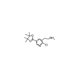 CC1(C)OB(c2cnc(Cl)c(CCN)c2)OC1(C)C